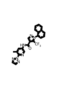 Cc1cc(NC(=O)c2cnn(-c3cccc4ccccc34)c2C(F)(F)F)cnc1-n1nccn1